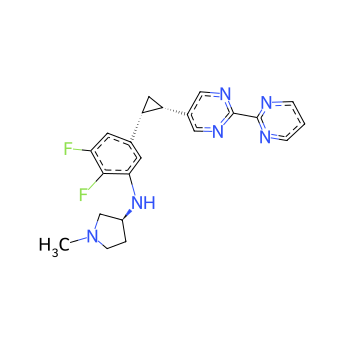 CN1CC[C@H](Nc2cc([C@@H]3C[C@@H]3c3cnc(-c4ncccn4)nc3)cc(F)c2F)C1